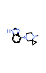 CN1CCN(c2cccc3[nH]cnc23)CC12CC2